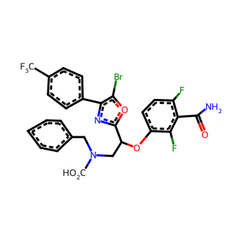 NC(=O)c1c(F)ccc(OC(CN(Cc2ccccc2)C(=O)O)c2nc(-c3ccc(C(F)(F)F)cc3)c(Br)o2)c1F